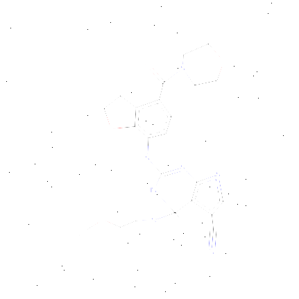 COCCNC1(C)NC(Nc2ccc(C(=O)N3CCOCC3)c3c2OCC3)=Nc2[nH]cc(C#N)c21